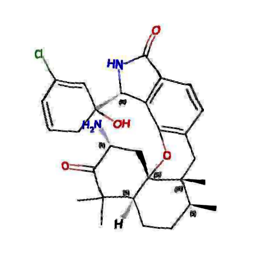 C[C@H]1CC[C@H]2C(C)(C)C(=O)[C@H](N)C[C@]23Oc2c(ccc4c2[C@H](C2(O)C=C(Cl)C=CC2)NC4=O)C[C@]13C